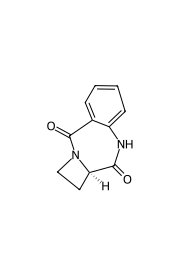 O=C1Nc2ccccc2C(=O)N2CC[C@H]12